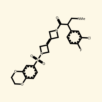 CNCC(C(=O)N1CC(=C2CN(S(=O)(=O)c3ccc4c(c3)OCCO4)C2)C1)c1ccc(F)c(Cl)c1